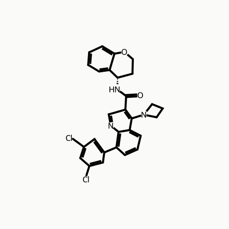 O=C(N[C@H]1CCOc2ccccc21)c1cnc2c(-c3cc(Cl)cc(Cl)c3)cccc2c1N1CCC1